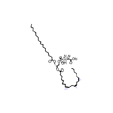 CCCCC/C=C\C/C=C\C/C=C\CCCCCCC(=O)O[C@H](COC(=O)CCCCCCCCCCCCCCCCC)COP(=O)(O)OC[C@H](N)C(=O)O